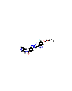 COCCOc1cc2[nH]nc(C3=CN(c4ccc(C(=O)N5Cc6ccncc6C5)cc4)NN3)c2cc1F